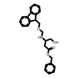 O=C(CC(CO)NCOCC1c2ccccc2-c2ccccc21)OCc1ccccc1